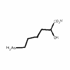 O=C(O)C(O)CCCC[AsH2]